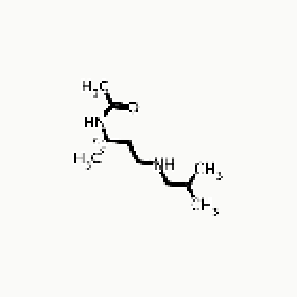 CC(=O)N[C@@H](C)CCNCC(C)C